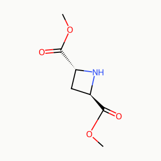 COC(=O)[C@H]1C[C@H](C(=O)OC)N1